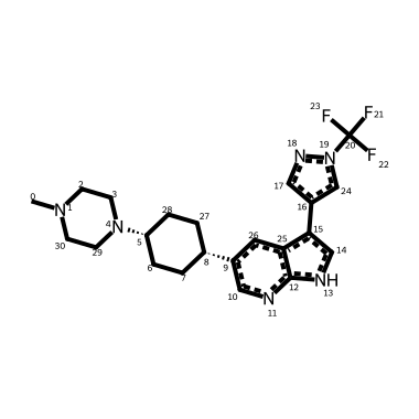 CN1CCN([C@H]2CC[C@@H](c3cnc4[nH]cc(-c5cnn(C(F)(F)F)c5)c4c3)CC2)CC1